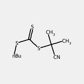 CCCCSC(=S)SC(C)(C)C#N